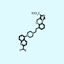 CCOC(=O)c1ncn2c1COc1c(CCN3CCN(c4cccc5nc(C(F)F)ccc45)CC3)cccc1-2